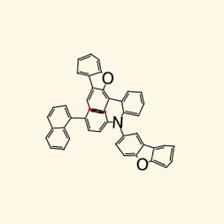 c1ccc(N(c2ccc(-c3cccc4ccccc34)cc2)c2ccc3oc4ccccc4c3c2)c(-c2cccc3c2oc2ccccc23)c1